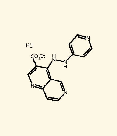 CCOC(=O)c1cnc2ccncc2c1NNc1ccncc1.Cl